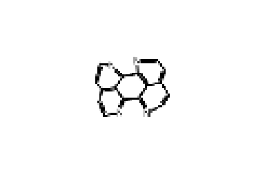 c1cc2ccnc3c4nccc5ccnc(c(n1)c23)c54